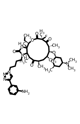 CC[C@H]1OC(=O)[C@@](C)(F)C(=O)[C@H](C)[C@@H](O[C@H]2C[C@@H](N(C)C)C[C@@H](C)O2)[C@@H](C)C[C@@H](C)C(=O)[C@H](C)[C@H]2N(CCCCn3cc(-c4cccc(N)c4)nn3)C(=O)O[C@]12C